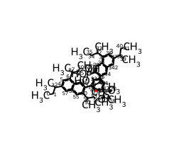 CCC(C)c1cc(C(C)CC)c2cc(-c3cc(S(C)(=O)=O)ccc3P(O)(O)(O)c3cc4c(C(C)CC)cc(C(C)CC)cc4cc3C(C)CC)c(C(C)CC)cc2c1